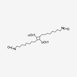 CCCCCCCCC1C(CCCCCCCCN=C=O)C(CCCCCCCC)C1CCCCCCCCN=C=O